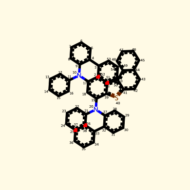 c1ccc(-c2ccccc2N(c2ccccc2)c2cc(N(c3ccccc3)c3ccccc3-c3ccccc3)c3sc4ccc5ccccc5c4c3c2)cc1